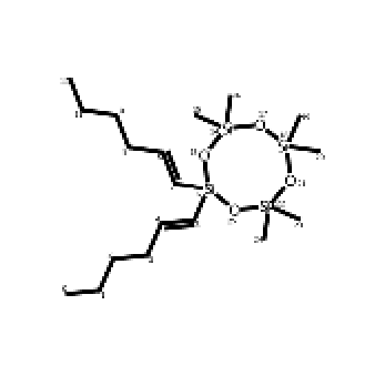 CCCCC=C[Si]1(C=CCCCC)O[Si](C)(C)O[Si](C)(C)O[Si](C)(C)O1